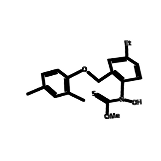 CCc1ccc(N(O)C(=S)OC)c(COc2ccc(C)cc2C)c1